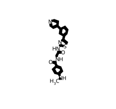 CNc1ccc(C(=O)NCC(=O)Nc2nc(-c3cccc(-c4ccncc4)c3)cs2)cc1